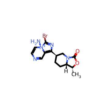 C[C@H]1OC(=O)N2C[C@H](C3=C4C=NC=C[N+]4(N)C(Br)=N3)CC[C@@H]12